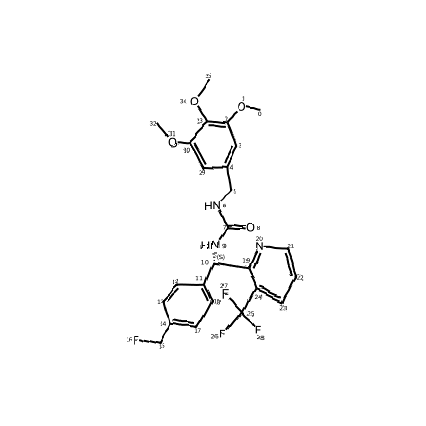 COc1cc(CNC(=O)N[C@@H](c2ccc(CF)cc2)c2ncccc2C(F)(F)F)cc(OC)c1OC